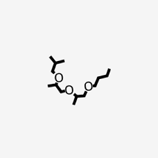 CCCCOCC(C)OCC(C)OCC(C)C